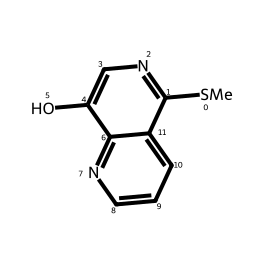 CSc1ncc(O)c2ncccc12